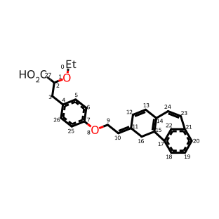 CCOC(Cc1ccc(OCC=C2C=CC3=C(C2)c2cccc(c2)C=C3)cc1)C(=O)O